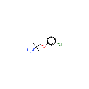 CC(C)(N)COc1cccc(Cl)c1